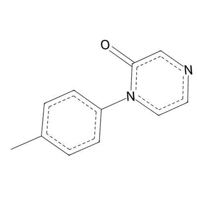 Cc1ccc(-n2ccncc2=O)cc1